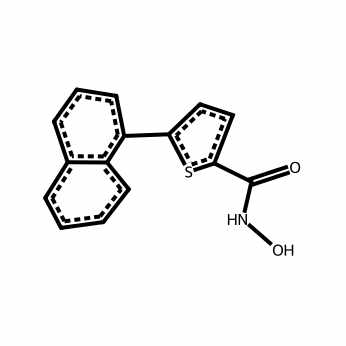 O=C(NO)c1ccc(-c2cccc3ccccc23)s1